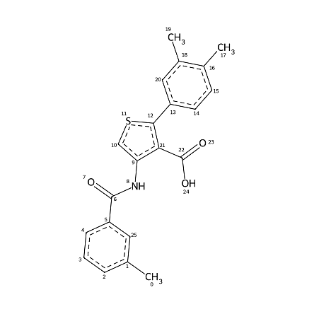 Cc1cccc(C(=O)Nc2csc(-c3ccc(C)c(C)c3)c2C(=O)O)c1